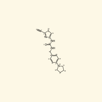 C#Cc1nc(NC(=O)NCc2ccc(N3CCCC3)cc2)cs1